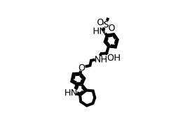 CS(=O)(=O)Nc1cccc(C(O)CNCCOc2ccc3[nH]c4c(c3c2)CCCCC4)c1